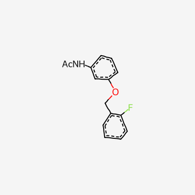 CC(=O)Nc1cccc(OCc2ccccc2F)c1